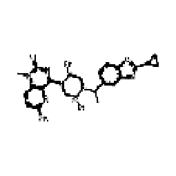 CC[C@H]1CN(C(C)c2ccc3oc(C4CC4)nc3c2)[C@H](CC)CN1c1nc(=O)n(C)c2ccc(C#N)nc12